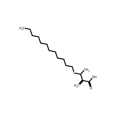 C=C(C(=O)O)C(C)SCCCCCCCCCCCC